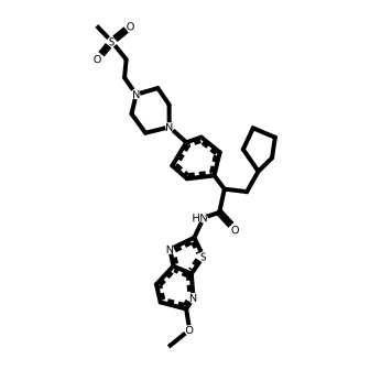 COc1ccc2nc(NC(=O)C(CC3CCCC3)c3ccc(N4CCN(CCS(C)(=O)=O)CC4)cc3)sc2n1